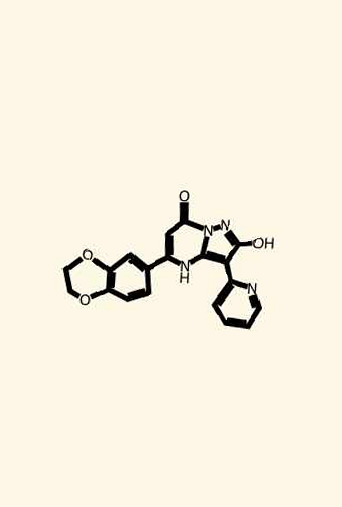 O=c1cc(-c2ccc3c(c2)OCCO3)[nH]c2c(-c3ccccn3)c(O)nn12